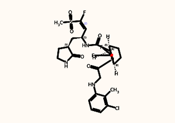 Cc1c(Cl)cccc1NCC(=O)N1[C@@H]2CC[C@H]([C@@H]1C(=O)N[C@H](/C=C(/F)S(C)(=O)=O)C[C@@H]1CCNC1=O)C(F)(F)C2